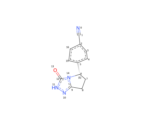 N#Cc1ccc([C@@H]2CCc3n[nH]c(=O)n32)cc1